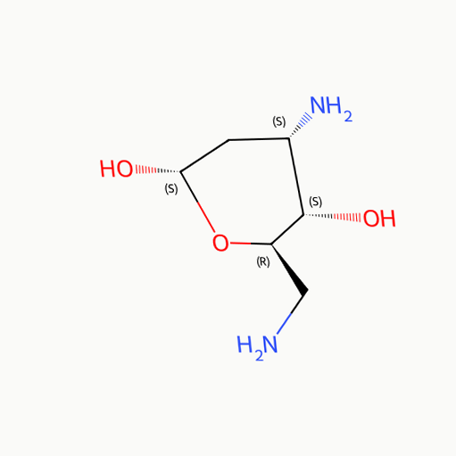 NC[C@H]1O[C@H](O)C[C@H](N)[C@@H]1O